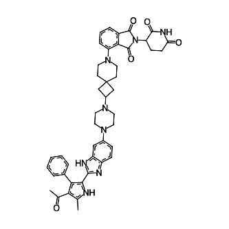 CC(=O)c1c(C)[nH]c(-c2nc3ccc(N4CCN(C5CC6(CCN(c7cccc8c7C(=O)N(C7CCC(=O)NC7=O)C8=O)CC6)C5)CC4)cc3[nH]2)c1-c1ccccc1